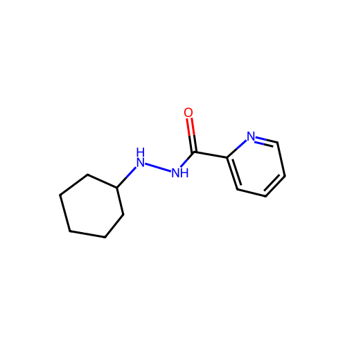 O=C(NNC1CCCCC1)c1ccccn1